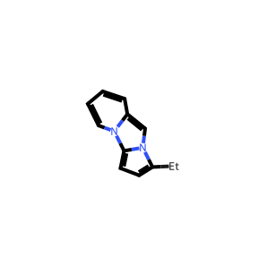 CCc1ccc2n1cc1ccccn12